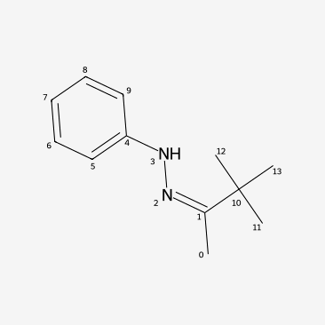 CC(=NNc1ccccc1)C(C)(C)C